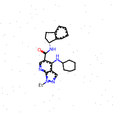 CCn1ncc2c(NC3CCCCC3)c(C(=O)N[C@@H]3CCc4ccccc43)cnc21